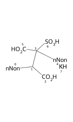 CCCCCCCCCC(C(=O)O)C(CCCCCCCCC)(C(=O)O)S(=O)(=O)O.[KH]